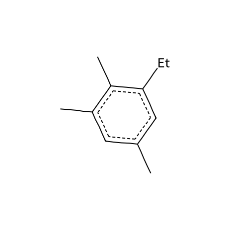 CCc1cc(C)cc(C)c1C